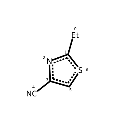 CCc1nc(C#N)cs1